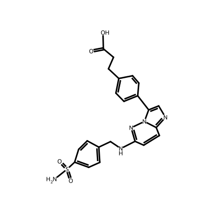 NS(=O)(=O)c1ccc(CNc2ccc3ncc(-c4ccc(CCC(=O)O)cc4)n3n2)cc1